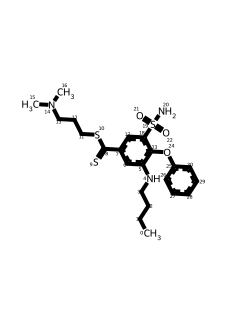 CCCCNc1cc(C(=S)SCCCN(C)C)cc(S(N)(=O)=O)c1Oc1ccccc1